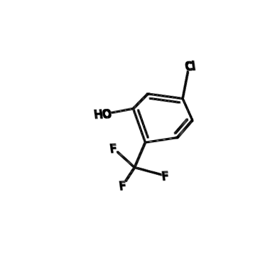 Oc1cc(Cl)ccc1C(F)(F)F